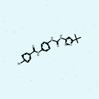 CC(C)(C)c1cc(NC(=O)Nc2ccc(NC(=O)c3ccc(Br)cc3)cc2)no1